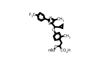 CCCCOC(Cc1ccc(OC(c2sc(-c3ccc(C(F)(F)F)cc3)nc2C)C2CC2)cc1C)C(=O)O